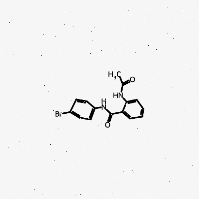 CC(=O)Nc1ccccc1C(=O)Nc1ccc(Br)cc1